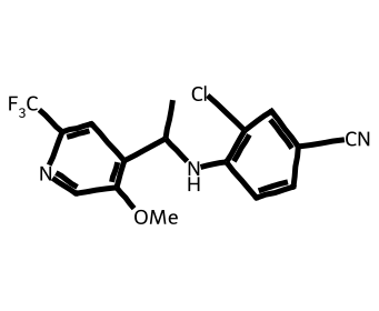 COc1cnc(C(F)(F)F)cc1C(C)Nc1ccc(C#N)cc1Cl